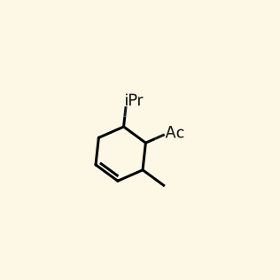 CC(=O)C1C(C)C=CCC1C(C)C